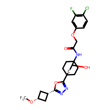 O=C(COc1ccc(Cl)c(F)c1)NC12CCC(c3nnc([C@H]4C[C@@H](OC(F)(F)F)C4)o3)(CC1)CC2O